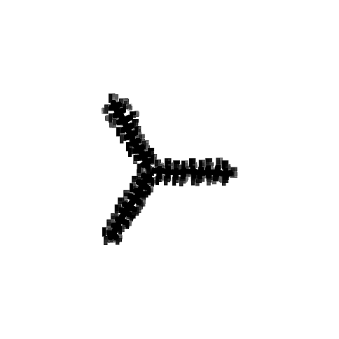 FC(F)(F)C(F)(F)C(F)(F)C(F)(F)C(F)(F)C(F)(F)C(F)(F)C(F)(F)C(F)(F)N(C(F)(F)C(F)(F)C(F)(F)C(F)(F)C(F)(F)C(F)(F)C(F)(F)C(F)(F)C(F)(F)F)C(F)(F)C(F)(F)C(F)(F)C(F)(F)C(F)(F)C(F)(F)C(F)(F)C(F)(F)C(F)(F)F